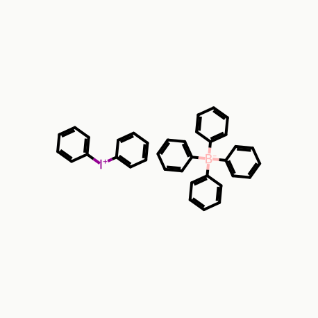 c1ccc([B-](c2ccccc2)(c2ccccc2)c2ccccc2)cc1.c1ccc([I+]c2ccccc2)cc1